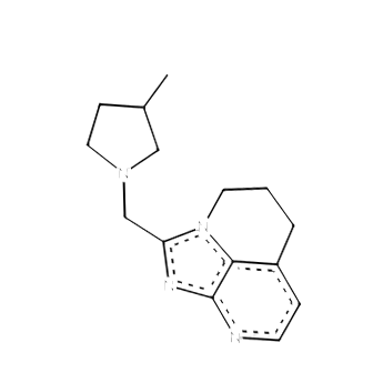 CC1CCN(Cc2nc3nccc4c3n2CCC4)C1